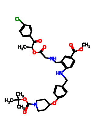 COC(=O)c1ccc(NCc2ccc(OC3CCN(C(=O)OC(C)(C)C)CC3)cc2)c(CNCC(=O)OC(C)C(=O)c2ccc(Cl)cc2)c1